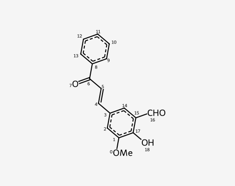 COc1cc(C=CC(=O)c2ccccc2)cc(C=O)c1O